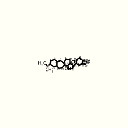 CN(C)C1CCC2=CC3CCC4(C)C(c5ccc6[nH]ncc6c5)=CCC4[C@@]3(O)CCC2C1